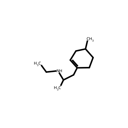 CCNC(C)CC1=CCC(C)CC1